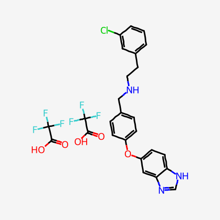 Clc1cccc(CCNCc2ccc(Oc3ccc4[nH]cnc4c3)cc2)c1.O=C(O)C(F)(F)F.O=C(O)C(F)(F)F